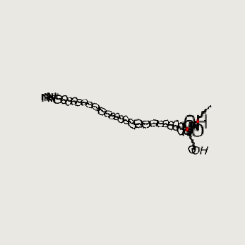 C#CCCCCCCCCCC(C/C(CCCCCCCCC(=O)O)=N/CCOCCOCCOCCOCCOCCOCCOCCOCCOCCOCCOCCOCCOCCOCCOCCOCCOCCOCCOCCOCCOCCOCCOCCN=[N+]=[N-])(C(C)=O)C(=O)O